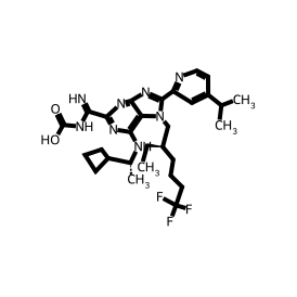 CC[C@H](CCCC(F)(F)F)Cn1c(-c2cc(C(C)C)ccn2)nc2nc(C(=N)NC(=O)O)nc(N[C@H](C)C3CCC3)c21